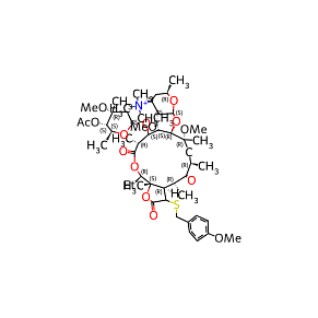 CC[C@H]1OC(=O)[C@H](C)[C@@H](O[C@H]2C[C@@](C)(OC)[C@@H](OC(C)=O)[C@H](C)O2)[C@H](C)[C@@H](O[C@@H]2O[C@H](C)C[C@H]([N+](C)(C)C)[C@H]2OC)[C@](C)(OC)C[C@@H](C)C(=O)[C@H](C)[C@H]2C(SCc3ccc(OC)cc3)C(=O)O[C@@]21C